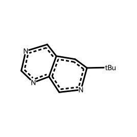 CC(C)(C)c1cc2cncnc2cn1